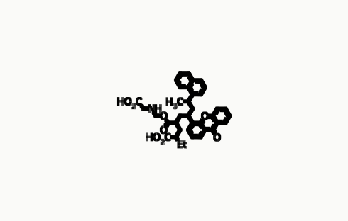 CCC(CC(CC(CC(C)c1cccc2ccccc12)c1cccc2c(=O)c3ccccc3oc12)C(=O)OCNCC(=O)O)C(=O)O